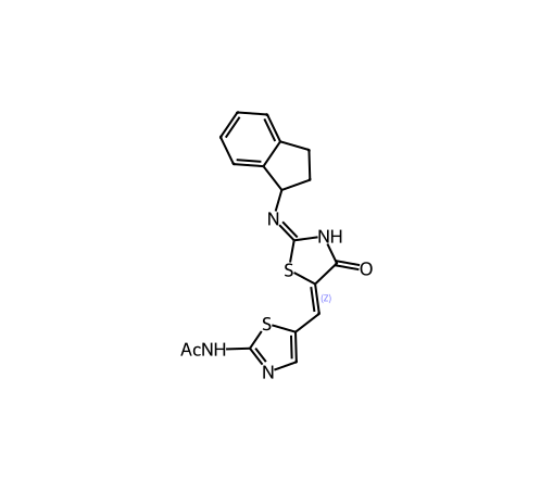 CC(=O)Nc1ncc(/C=C2\SC(=NC3CCc4ccccc43)NC2=O)s1